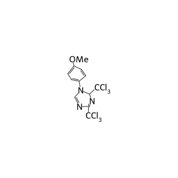 COc1ccc(N2C=NC(C(Cl)(Cl)Cl)=NC2C(Cl)(Cl)Cl)cc1